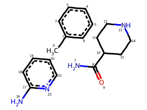 Cc1ccccc1.NC(=O)C1CCNCC1.Nc1ccccn1